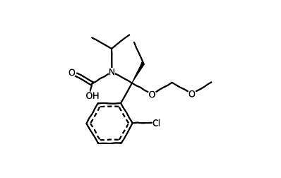 CC[C@@](OCOC)(c1ccccc1Cl)N(C(=O)O)C(C)C